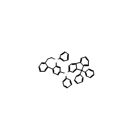 c1ccc(N2CCc3ccccc3-c3ccc(N(c4ccccc4)c4ccc5c(c4)C(c4ccccc4)(c4ccccc4)c4ccccc4-5)cc32)cc1